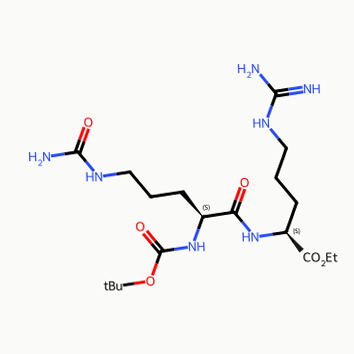 CCOC(=O)[C@H](CCCNC(=N)N)NC(=O)[C@H](CCCNC(N)=O)NC(=O)OC(C)(C)C